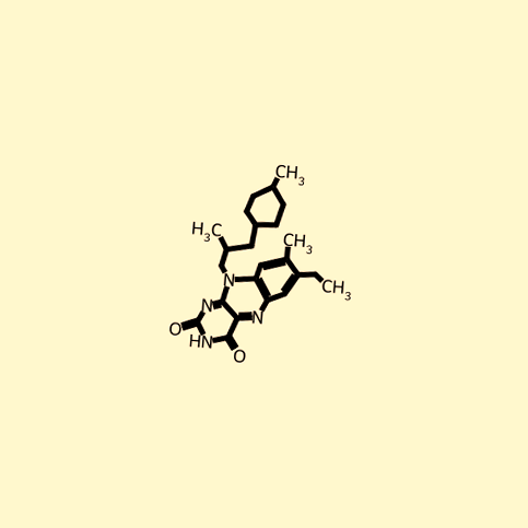 CCc1cc2nc3c(=O)[nH]c(=O)nc-3n(CC(C)CC3CCC(C)CC3)c2cc1C